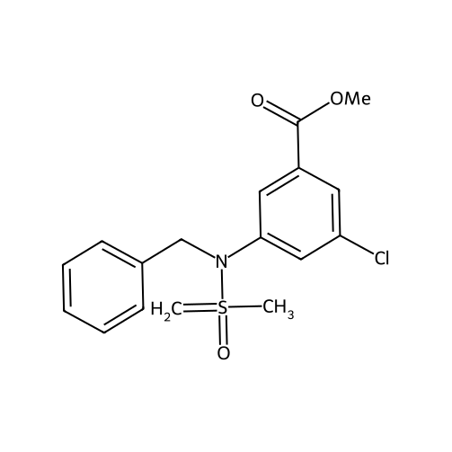 C=S(C)(=O)N(Cc1ccccc1)c1cc(Cl)cc(C(=O)OC)c1